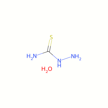 NNC(N)=S.O